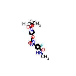 CCNC(=O)c1ccc(-c2noc(COC3CCN(C(=O)OC(C)(C)C)CC3)n2)cc1F